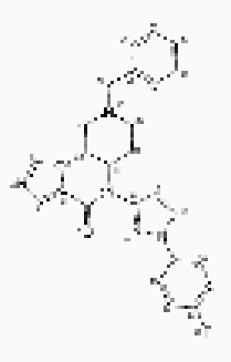 O=C(c1cnco1)N(c1ccn(-c2ccc(F)cc2)n1)C1CCN(Cc2ccccc2)CC1